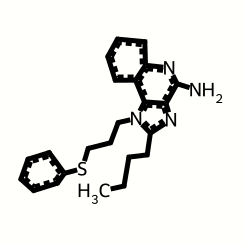 CCCCc1nc2c(N)nc3ccccc3c2n1CCCSc1ccccc1